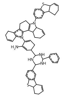 NC1=CC(C2NC(c3ccccc3)NC(c3ccc4c(c3)C3C=CCCC3S4)N2)CC=C1n1c2c(c3c1C1=C(CC3)N(c3ccc4c(c3)C3CCC=CC3S4)C3C=CCCC13)CCC=C2